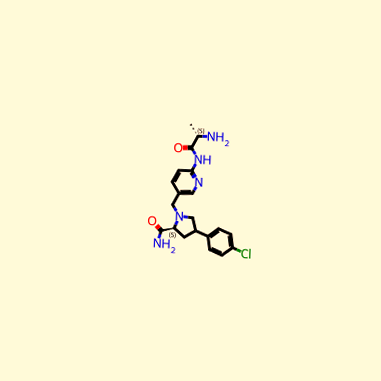 C[C@H](N)C(=O)Nc1ccc(CN2CC(c3ccc(Cl)cc3)C[C@H]2C(N)=O)cn1